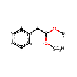 CCOC(Cc1ccccc1)OC(=O)O